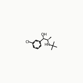 C[C@@H](NC(C)(C)C)[C@H](O)c1cccc(Cl)c1